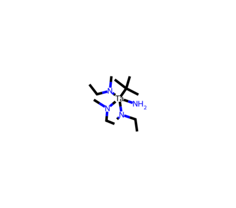 CC[N](C)[Ta]([NH2])([N](C)CC)([N](C)CC)[C](C)(C)C